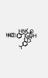 COc1ccc(C(C)C)cc1CNC1C(c2ccccc2)NC(C)C1C(=O)O.Cl.Cl